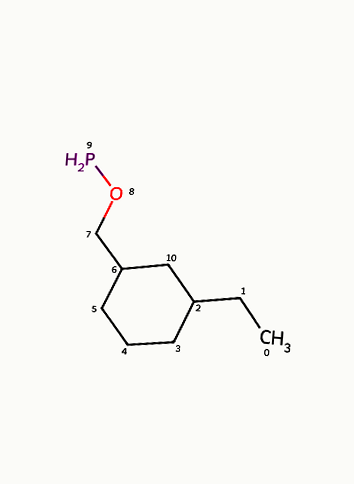 CCC1CCCC(COP)C1